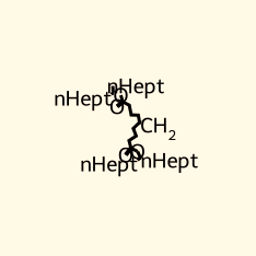 C=C(CCCC(=O)OC(CCCCCCC)CCCCCCC)CCCC(=O)OC(CCCCCCC)CCCCCCC